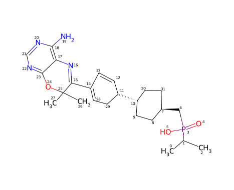 CC(C)P(=O)(O)C[C@H]1CC[C@H](C2C=CC(C3=Nc4c(N)ncnc4OC3(C)C)=CC2)CC1